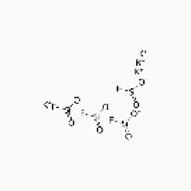 O=[Si]([O-])F.O=[Si]([O-])F.O=[Si]([O-])F.O=[Si]([O-])F.[K+].[K+].[K+].[K+]